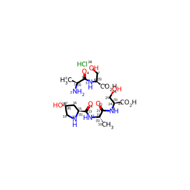 C[C@H](N)C(=O)N[C@@H](CO)C(=O)O.C[C@H](NC(=O)[C@@H]1C[C@@H](O)CN1)C(=O)N[C@@H](CO)C(=O)O.Cl